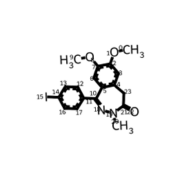 COc1cc2c(cc1OC)C(c1ccc(I)cc1)=NN(C)C(=O)C2